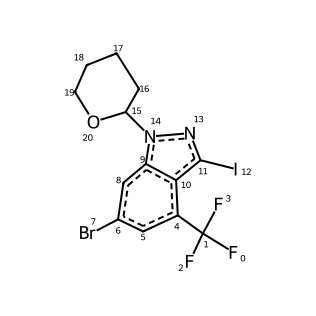 FC(F)(F)c1cc(Br)cc2c1c(I)nn2C1CCCCO1